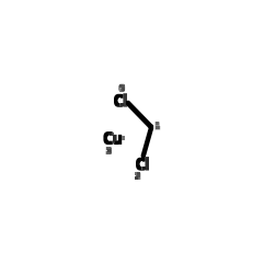 ClCCl.[Cu]